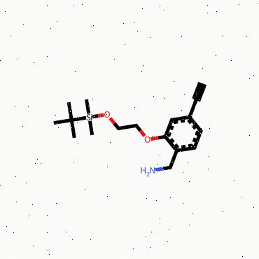 C#Cc1ccc(CN)c(OCCO[Si](C)(C)C(C)(C)C)c1